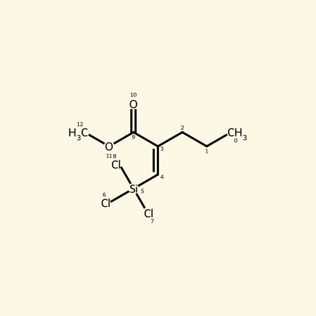 CCCC(=C[Si](Cl)(Cl)Cl)C(=O)OC